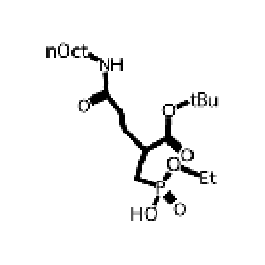 CCCCCCCCNC(=O)CCC(CP(=O)(O)OCC)C(=O)OC(C)(C)C